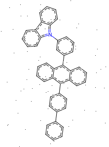 c1ccc(-c2ccc(-c3c4ccccc4c(-c4cccc(-n5c6ccccc6c6ccccc65)c4)c4ccccc34)cc2)cc1